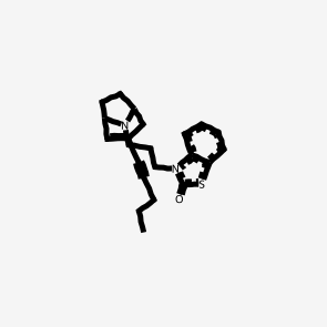 CCCC#CC1=CC2CCC(C1)N2CCCn1c(=O)sc2ccccc21